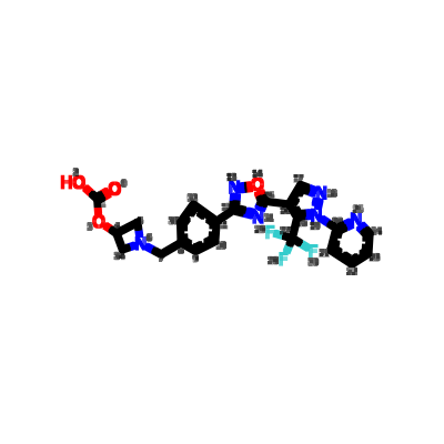 O=C(O)OC1CN(Cc2ccc(-c3noc(-c4cnn(-c5ccccn5)c4C(F)(F)F)n3)cc2)C1